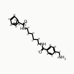 NCc1ccc(C(=O)NCCCCCCNC(=O)C2CC3C=CC2C3)cc1